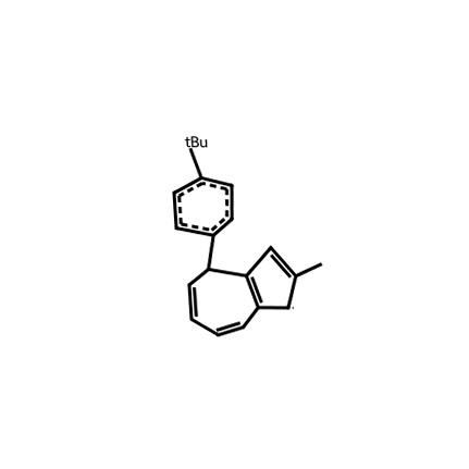 CC1=CC2=C([CH]1)C=CC=CC2c1ccc(C(C)(C)C)cc1